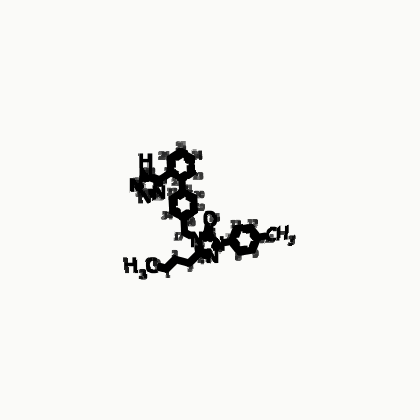 CCCCc1nn(-c2ccc(C)cc2)c(=O)n1Cc1ccc(-c2ccccc2-c2nnn[nH]2)cc1